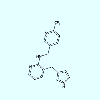 FC(F)(F)c1ccc(CNc2ncccc2Cc2cc[nH]c2)cn1